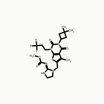 COC(=O)N=C1NCCN1Cc1sc2c(c1C)c(=O)n(C1CC(C)(C)C1)c(=O)n2CCC(F)(F)F